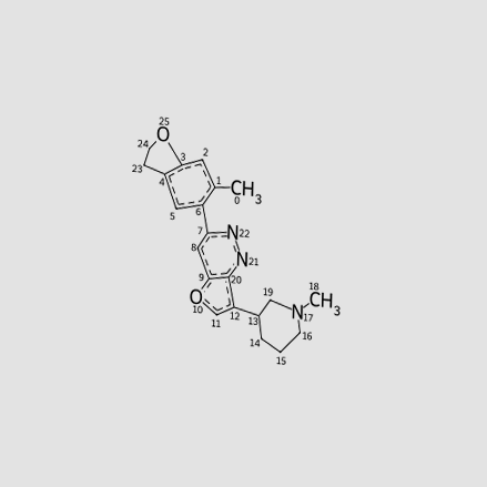 Cc1cc2c(cc1-c1cc3occ(C4CCCN(C)C4)c3nn1)CCO2